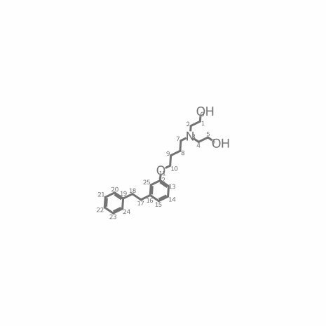 OCCN(CCO)CCCCOc1cccc(CCc2ccccc2)c1